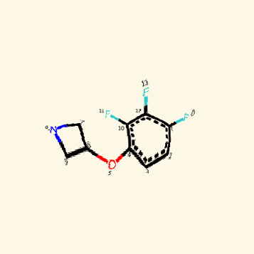 Fc1ccc(OC2C[N]C2)c(F)c1F